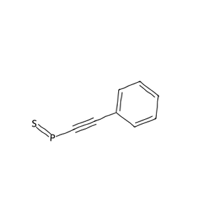 S=PC#Cc1ccccc1